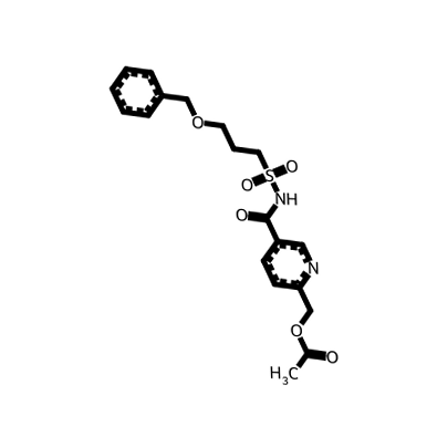 CC(=O)OCc1ccc(C(=O)NS(=O)(=O)CCCOCc2ccccc2)cn1